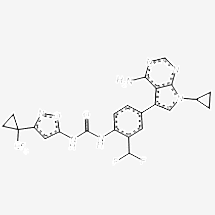 Nc1ncnc2c1c(-c1ccc(NC(=O)Nc3cc(C4(C(F)(F)F)CC4)no3)c(C(F)F)c1)cn2C1CC1